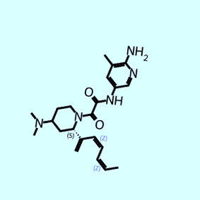 C=C(/C=C\C=C/C)[C@@H]1CC(N(C)C)CCN1C(=O)C(=O)Nc1cnc(N)c(C)c1